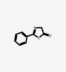 O=C1CN=C(c2ccccc2)S1